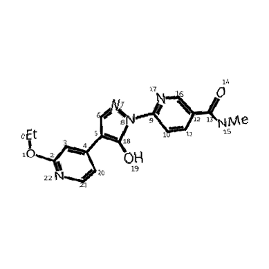 CCOc1cc(-c2cnn(-c3ccc(C(=O)NC)cn3)c2O)ccn1